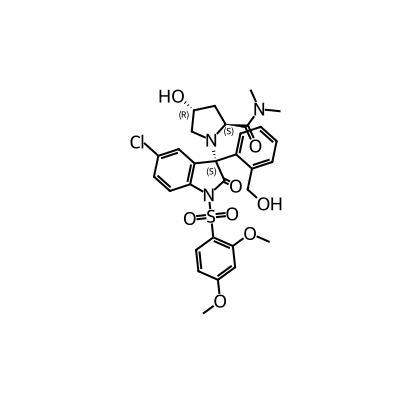 COc1ccc(S(=O)(=O)N2C(=O)[C@@](c3ccccc3CO)(N3C[C@H](O)C[C@H]3C(=O)N(C)C)c3cc(Cl)ccc32)c(OC)c1